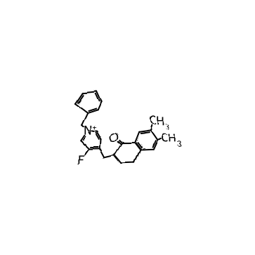 Cc1cc2c(cc1C)C(=O)C(Cc1cc[n+](Cc3ccccc3)cc1F)CC2